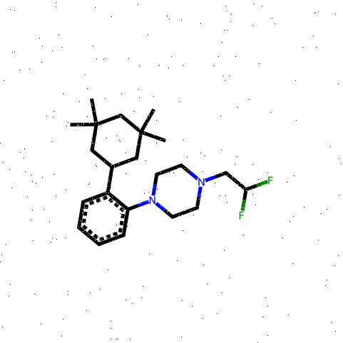 CC1(C)CC(c2ccccc2N2CCN(CC(F)F)CC2)CC(C)(C)C1